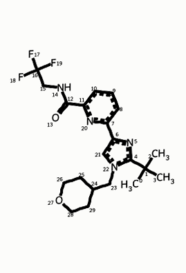 CC(C)(C)c1nc(-c2cccc(C(=O)NCC(F)(F)F)n2)cn1CC1CCOCC1